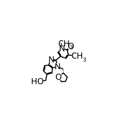 Cc1cc(-c2nc3ccc(CO)cc3n2C[C@@H]2CCCO2)cn(C)c1=O